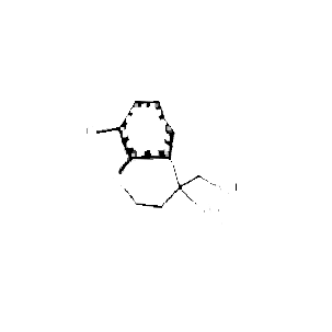 NC1(CO)CCSc2c(F)cccc21